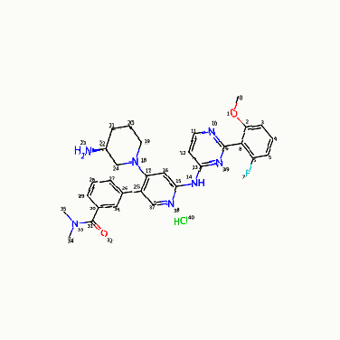 COc1cccc(F)c1-c1nccc(Nc2cc(N3CCC[C@H](N)C3)c(-c3cccc(C(=O)N(C)C)c3)cn2)n1.Cl